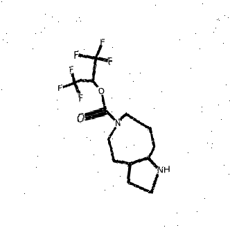 O=C(OC(C(F)(F)F)C(F)(F)F)N1CCCC2NCCC2CC1